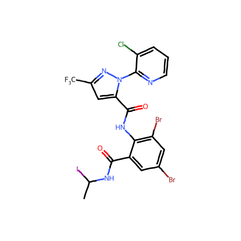 CC(I)NC(=O)c1cc(Br)cc(Br)c1NC(=O)c1cc(C(F)(F)F)nn1-c1ncccc1Cl